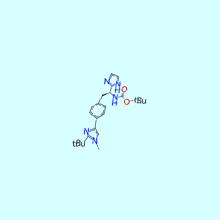 Cn1cc(-c2ccc(C[C@H](NC(=O)OC(C)(C)C)c3ncc[nH]3)cc2)nc1C(C)(C)C